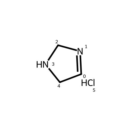 C1=NCNC1.Cl